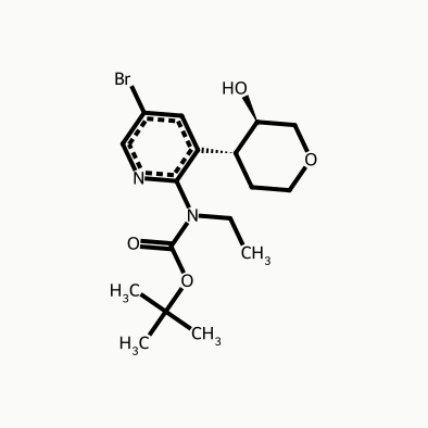 CCN(C(=O)OC(C)(C)C)c1ncc(Br)cc1[C@H]1CCOC[C@@H]1O